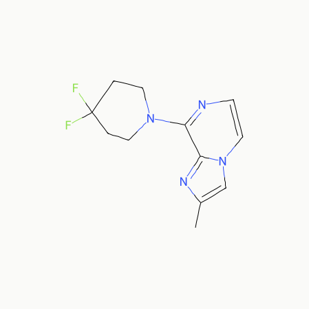 Cc1cn2ccnc(N3CCC(F)(F)CC3)c2n1